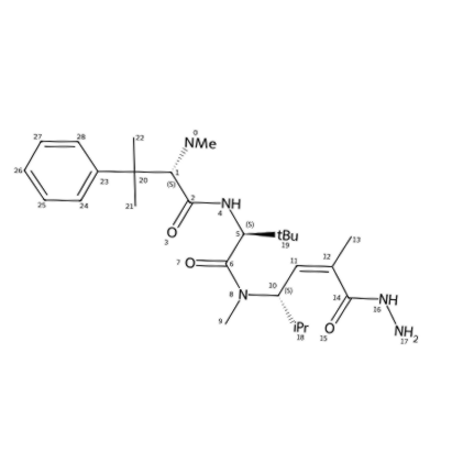 CN[C@H](C(=O)N[C@H](C(=O)N(C)[C@H](C=C(C)C(=O)NN)C(C)C)C(C)(C)C)C(C)(C)c1ccccc1